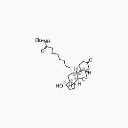 CCC(C)NC(=O)CCCCCCC[C@H]1C[C@]2(C)[C@@H](O)CC[C@H]2[C@@H]2CC[C@H]3CC(=O)CC[C@]3(C)[C@@H]12